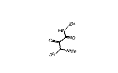 CCCC(NC)C(=O)C(=O)NC(C)CC